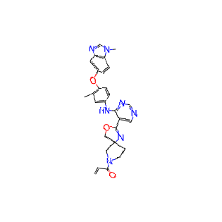 C=CC(=O)N1CCC2(COC(c3cncnc3Nc3ccc(Oc4ccc5c(c4)ncn5C)c(C)c3)=N2)C1